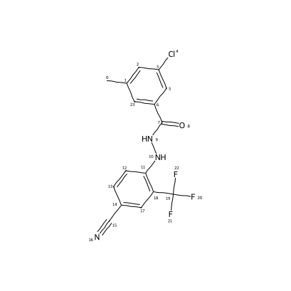 Cc1cc(Cl)cc(C(=O)NNc2ccc(C#N)cc2C(F)(F)F)c1